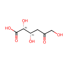 O=C(CO)C[C@H](O)[C@@H](O)C(=O)O